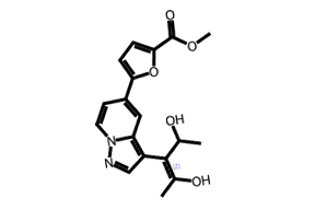 COC(=O)c1ccc(-c2ccn3ncc(/C(=C(\C)O)C(C)O)c3c2)o1